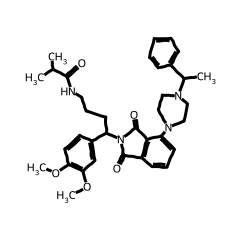 COc1ccc(C(CCCNC(=O)C(C)C)N2C(=O)c3cccc(N4CCN(C(C)c5ccccc5)CC4)c3C2=O)cc1OC